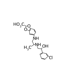 CC(CNc1ccc2c(c1)OC(C(=O)O)O2)NCC(O)c1cccc(Cl)c1